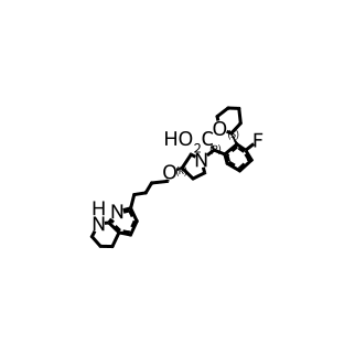 O=C(O)[C@@H](c1cccc(F)c1[C@@H]1CCCCO1)N1CC[C@@H](OCCCCc2ccc3c(n2)NCCC3)C1